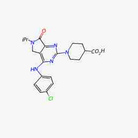 CC(C)N1Cc2c(Nc3ccc(Cl)cc3)nc(N3CCC(C(=O)O)CC3)nc2C1=O